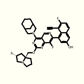 C#Cc1c(F)ccc2cc(O)cc(-c3ncc4c(N5CC6CCCC(C6)C5)nc(OC[C@@]56CCCN5C[C@H](F)C6)nc4c3F)c12